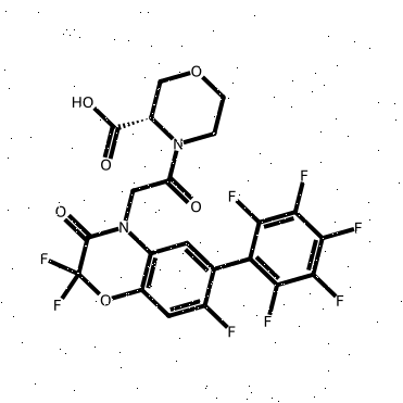 O=C(O)[C@@H]1COCCN1C(=O)CN1C(=O)C(F)(F)Oc2cc(F)c(-c3c(F)c(F)c(F)c(F)c3F)cc21